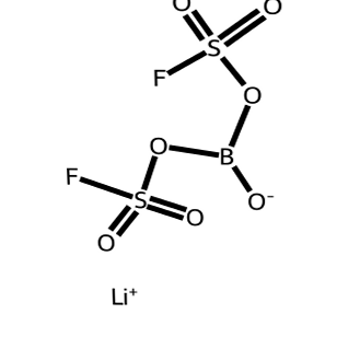 O=S(=O)(F)OB([O-])OS(=O)(=O)F.[Li+]